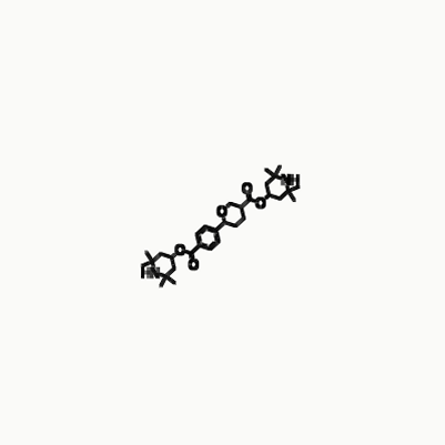 CC1(C)CC(OC(=O)c2ccc(C3CCC(C(=O)OC4CC(C)(C)NC(C)(C)C4)CO3)cc2)CC(C)(C)N1